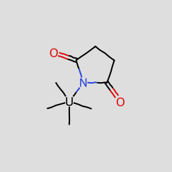 [CH3][U]([CH3])([CH3])([CH3])[N]1C(=O)CCC1=O